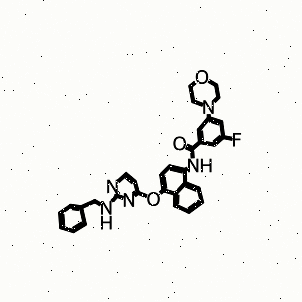 O=C(Nc1ccc(Oc2ccnc(NCc3ccccc3)n2)c2ccccc12)c1cc(F)cc(N2CCOCC2)c1